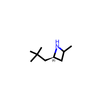 CC1C[C@@H](CC(C)(C)C)N1